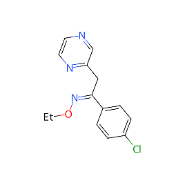 CCON=C(Cc1cnccn1)c1ccc(Cl)cc1